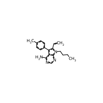 C=Cc1c(-c2ccc(C)cc2)c2c(N)ncnc2n1CCCC